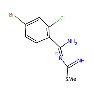 CSC(=N)/N=C(\N)c1ccc(Br)cc1Cl